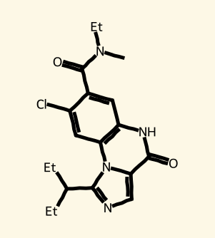 CCC(CC)c1ncc2c(=O)[nH]c3cc(C(=O)N(C)CC)c(Cl)cc3n12